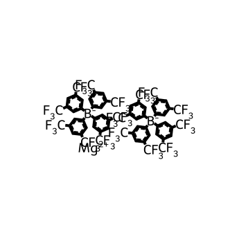 FC(F)(F)c1cc([B-](c2cc(C(F)(F)F)cc(C(F)(F)F)c2)(c2cc(C(F)(F)F)cc(C(F)(F)F)c2)c2cc(C(F)(F)F)cc(C(F)(F)F)c2)cc(C(F)(F)F)c1.FC(F)(F)c1cc([B-](c2cc(C(F)(F)F)cc(C(F)(F)F)c2)(c2cc(C(F)(F)F)cc(C(F)(F)F)c2)c2cc(C(F)(F)F)cc(C(F)(F)F)c2)cc(C(F)(F)F)c1.[Mg+2]